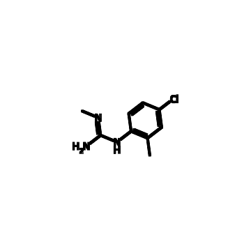 CN=C(N)Nc1ccc(Cl)cc1C